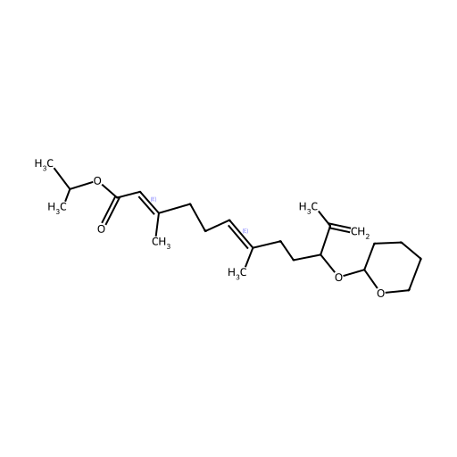 C=C(C)C(CC/C(C)=C/CC/C(C)=C/C(=O)OC(C)C)OC1CCCCO1